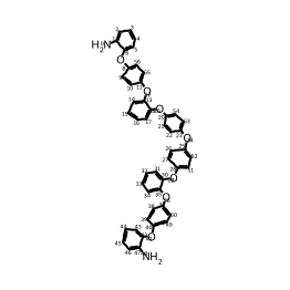 Nc1ccccc1Oc1ccc(Oc2ccccc2Oc2ccc(Oc3ccc(Oc4ccccc4Oc4ccc(Oc5ccccc5N)cc4)cc3)cc2)cc1